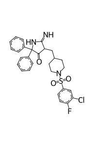 N=C1NC(c2ccccc2)(c2ccccc2)C(=O)C1CC1CCN(S(=O)(=O)c2ccc(F)c(Cl)c2)CC1